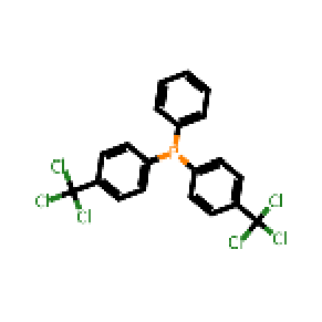 ClC(Cl)(Cl)c1ccc(P(c2ccccc2)c2ccc(C(Cl)(Cl)Cl)cc2)cc1